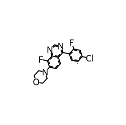 Fc1cc(Cl)[c]cc1-c1ncnc2c(F)c(N3CCOCC3)ccc12